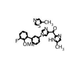 COc1c(F)cccc1-c1cccc(-n2cnc(C(=O)c3ncc(C)[nH]3)c2)c1.Cc1cncs1